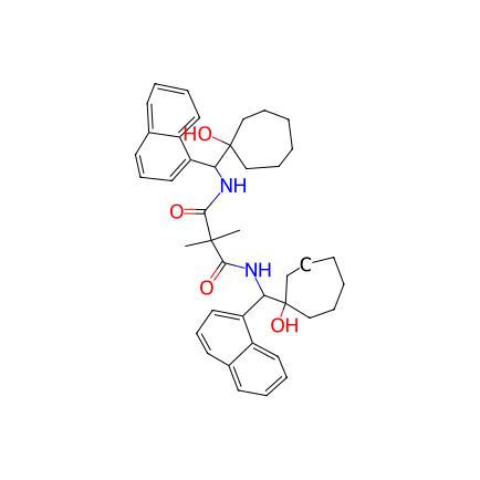 CC(C)(C(=O)NC(c1cccc2ccccc12)C1(O)CCCCCC1)C(=O)NC(c1cccc2ccccc12)C1(O)CCCCCC1